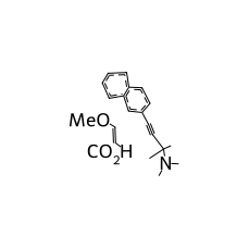 CN(C)C(C)(C)C#Cc1ccc2ccccc2c1.COC=CC(=O)O